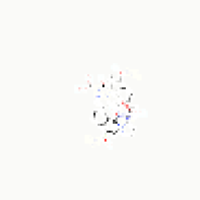 CC1C[C@@H](C2CCCN2[C@]2(C(=O)NC(=O)O)c3cccc(c3)C(C(N)=O)C2(C)C)N(c2ccc(F)cc2)[C@@]1(C)C1CCCN1[C@]1(C(=O)NC(=O)O)c2cccc(c2)C(C(N)=O)C1(C)C